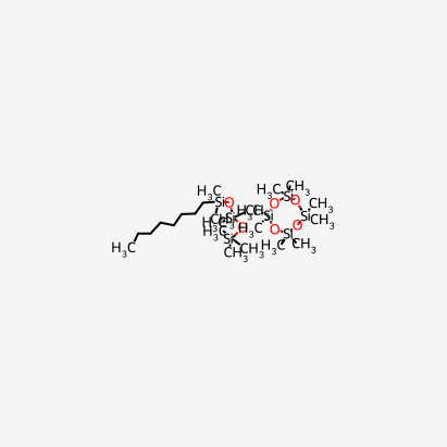 CCCCCCCC[Si](C)(C)O[Si](C)(C)O[Si](C)(C)C.C[Si]1(C)O[Si](C)(C)O[Si](C)(C)O[Si](C)(C)O1